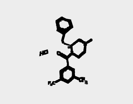 CN1CCN(C(=O)c2cc(C(F)(F)F)cc(C(F)(F)F)c2)[C@H](Cc2ccccc2)C1.Cl